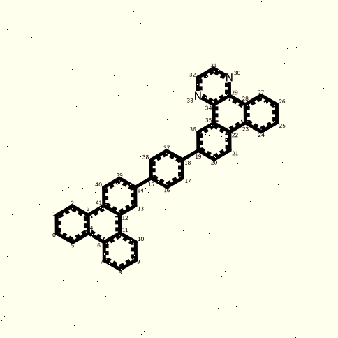 c1ccc2c(c1)c1ccccc1c1cc(-c3ccc(-c4ccc5c6ccccc6c6nccnc6c5c4)cc3)ccc21